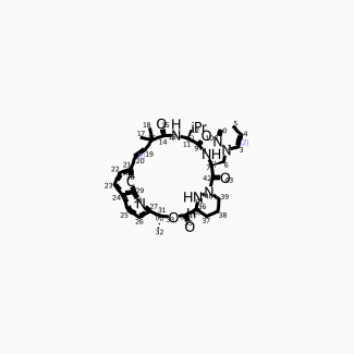 C=NN(/C=C\C)C[C@@H]1NC(=O)[C@H](C(C)C)NC(=O)C(C)(C)/C=C/c2ccc3ccc(nc3c2)[C@@H](C)OC(=O)[C@@H]2CCCN(N2)C1=O